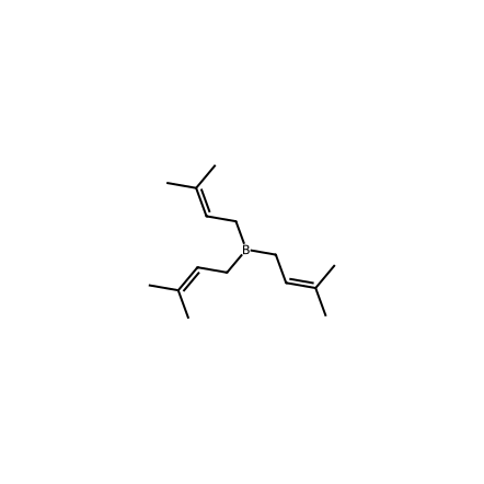 CC(C)=CCB(CC=C(C)C)CC=C(C)C